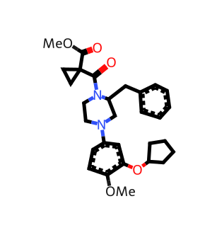 COC(=O)C1(C(=O)N2CCN(c3ccc(OC)c(OC4CCCC4)c3)CC2Cc2ccccc2)CC1